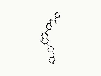 O=C(Nc1ccc(-c2ccc3ncc(N4CCN(Cc5cccnc5)CC4)nc3c2)cc1)c1ccoc1